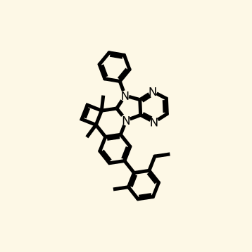 CCc1cccc(C)c1-c1ccc2c(c1)N1c3nccnc3N(c3ccccc3)C1C1(C)C=CC21C